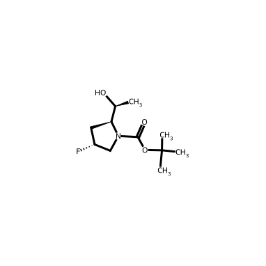 C[C@H](O)[C@@H]1C[C@@H](F)CN1C(=O)OC(C)(C)C